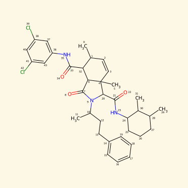 CC1C=CC2(C)C(C(=O)N(C(C)CCc3ccccc3)C2C(=O)NC2CCCC(C)C2C)C1C(=O)Nc1cc(Cl)cc(Cl)c1